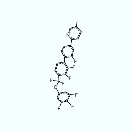 Cc1ccc(-c2ccc(-c3ccc(C(F)(F)Oc4cc(F)c(F)c(F)c4)c(F)c3F)c(F)c2)nc1